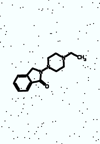 CCN1CCN(N2Cc3ccccc3C2=O)CC1